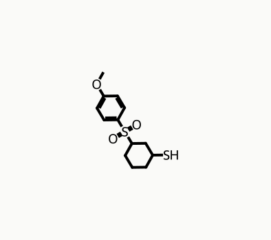 COc1ccc(S(=O)(=O)C2CCCC(S)C2)cc1